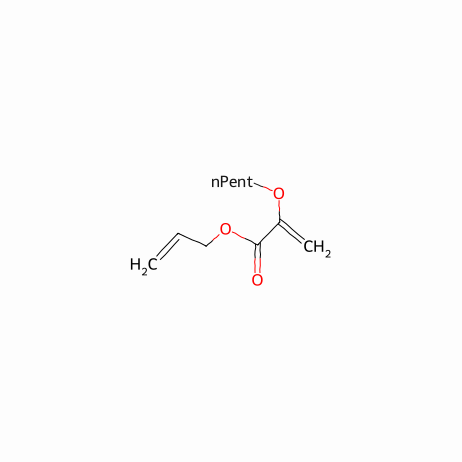 C=CCOC(=O)C(=C)OCCCCC